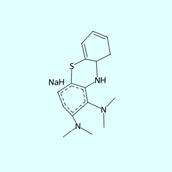 CN(C)c1ccc2c(c1N(C)C)NC1CC=CC=C1S2.[NaH]